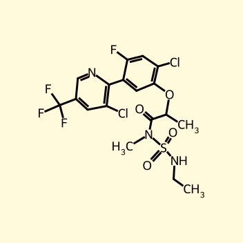 CCNS(=O)(=O)N(C)C(=O)C(C)Oc1cc(-c2ncc(C(F)(F)F)cc2Cl)c(F)cc1Cl